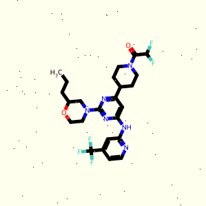 CCCC1CN(c2nc(Nc3cc(C(F)(F)F)ccn3)cc(C3CCN(C(=O)C(F)F)CC3)n2)CCO1